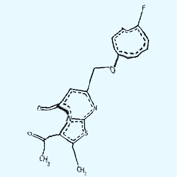 CC(=O)c1c(C)sc2nc(COc3ccc(F)cc3)cc(=O)n12